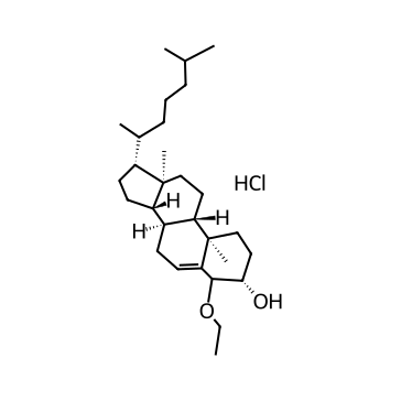 CCOC1C2=CC[C@H]3[C@@H]4CC[C@H](C(C)CCCC(C)C)[C@@]4(C)CC[C@@H]3[C@@]2(C)CC[C@@H]1O.Cl